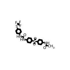 CC(=O)Nc1ccc(S(=O)(=O)c2ccc(NC(=O)Nc3ccc(SC(F)(F)F)cc3)cc2)cc1